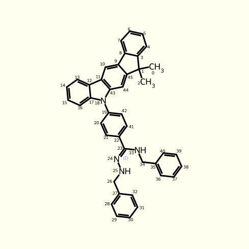 CC1(C)c2ccccc2-c2cc3c4ccccc4n(-c4ccc(/C(=N/NCc5ccccc5)NCc5ccccc5)cc4)c3cc21